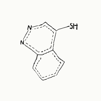 Sc1cnnc2ccccc12